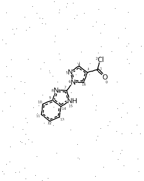 O=C(Cl)c1cnn(-c2nc3ccccc3[nH]2)c1